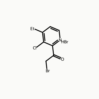 Br.CCc1ccnc(C(=O)CBr)c1Cl